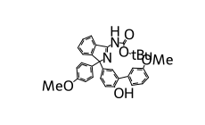 COc1ccc(C2(c3ccc(O)c(-c4cccc(OC)c4)c3)N=C(NC(=O)OC(C)(C)C)c3ccccc32)cc1